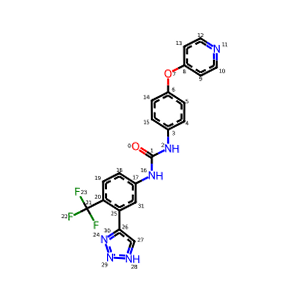 O=C(Nc1ccc(Oc2ccncc2)cc1)Nc1ccc(C(F)(F)F)c(-c2c[nH]nn2)c1